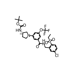 CCS(=O)(=O)c1ccc(Cl)cc1CNC(=O)c1cc(OC(F)(F)F)cc(N2CC[C@H](NC(=O)OC(C)(C)C)C2)c1